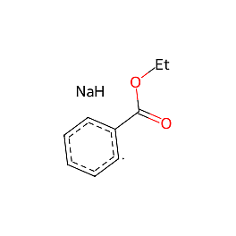 CCOC(=O)c1[c]cccc1.[NaH]